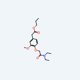 CCCOC(=O)Cc1ccc(OCC(=O)N(CC)CC)c(OC)c1